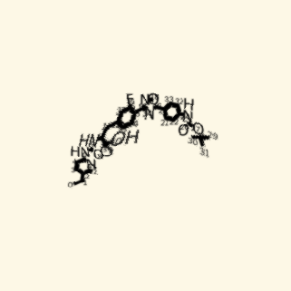 CCc1ccc(NC(=O)NC(Cc2ccc(-c3noc(-c4ccc(NC(=O)OC(C)(C)C)cc4)n3)c(F)c2)C(=O)O)nc1